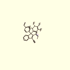 C#CC1=C(/C=C\C)C(C2=C=C=C(C=C)C=C2)(C2=C(F)C(F)=C(F)C(F)C2F)c2ccccc21